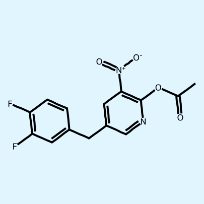 CC(=O)Oc1ncc(Cc2ccc(F)c(F)c2)cc1[N+](=O)[O-]